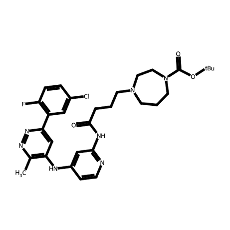 Cc1nnc(-c2cc(Cl)ccc2F)cc1Nc1ccnc(NC(=O)CCCN2CCCN(C(=O)OC(C)(C)C)CC2)c1